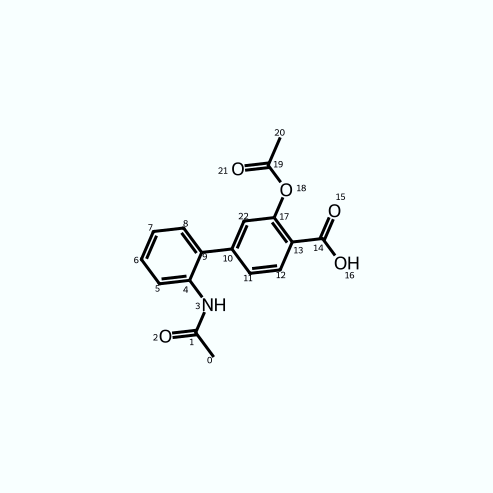 CC(=O)Nc1ccccc1-c1ccc(C(=O)O)c(OC(C)=O)c1